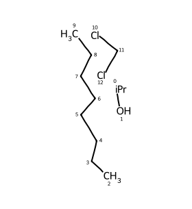 CC(C)O.CCCCCCCC.ClCCl